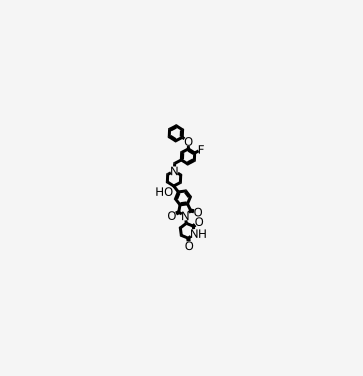 O=C1CCC(N2C(=O)c3ccc(C4(O)CCN(Cc5ccc(F)c(Oc6ccccc6)c5)CC4)cc3C2=O)C(=O)N1